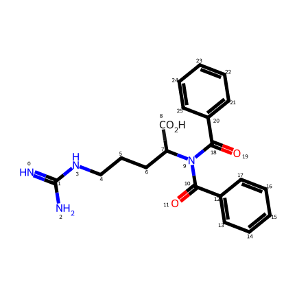 N=C(N)NCCCC(C(=O)O)N(C(=O)c1ccccc1)C(=O)c1ccccc1